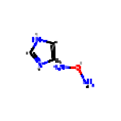 NON.c1c[nH]cn1